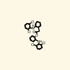 O=C(Cc1ccccc1Nc1c(Cl)cccc1Cl)Oc1ccccc1Nc1c(Cl)cccc1Cl